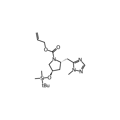 C=CCOC(=O)N1C[C@H](O[Si](C)(C)C(C)(C)C)C[C@H]1Cc1ncnn1C